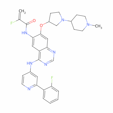 C=C(F)C(=O)Nc1cc2c(Nc3ccnc(-c4ccccc4F)c3)ncnc2cc1OC1CCN(C2CCN(C)CC2)C1